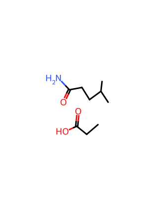 CC(C)CCC(N)=O.CCC(=O)O